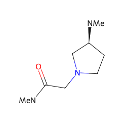 CNC(=O)CN1CC[C@H](NC)C1